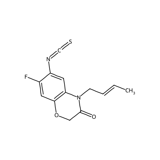 CC=CCN1C(=O)COc2cc(F)c(N=C=S)cc21